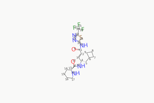 O=C(C=C[C@H](CC1CCC1)NC(=O)[C@@H]1CCCCN1)Nc1nnc(C(F)(F)F)s1